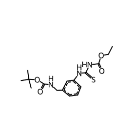 CCOC(=O)NC(=S)Nc1cccc(CNC(=O)OC(C)(C)C)c1